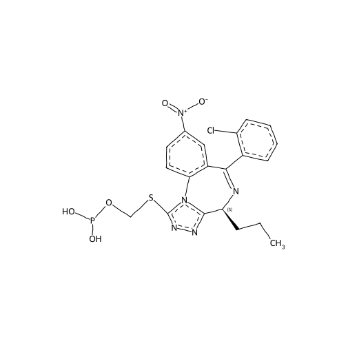 CCC[C@@H]1N=C(c2ccccc2Cl)c2cc([N+](=O)[O-])ccc2-n2c(SCOP(O)O)nnc21